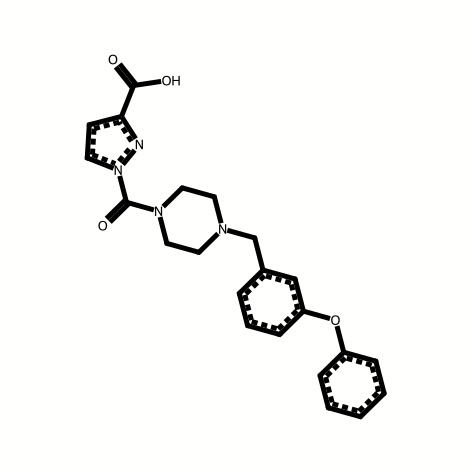 O=C(O)c1ccn(C(=O)N2CCN(Cc3cccc(Oc4ccccc4)c3)CC2)n1